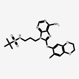 CC(C)(C)S(=O)(=O)NCCCn1c(Sc2cc3c(cc2I)OCCO3)nc2c(N)ncnc21